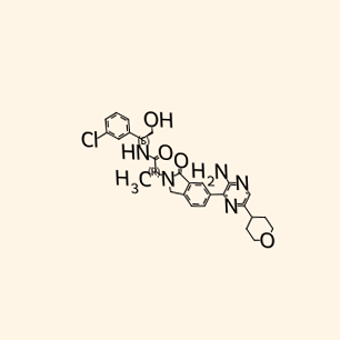 C[C@H](C(=O)N[C@H](CO)c1cccc(Cl)c1)N1Cc2ccc(-c3nc(C4CCOCC4)cnc3N)cc2C1=O